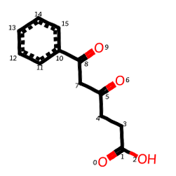 O=C(O)CCC(=O)CC(=O)c1ccccc1